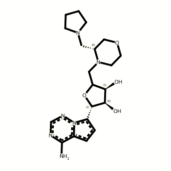 Nc1ncnn2c([C@@H]3OC(CN4CCOC[C@H]4CN4CCCC4)[C@@H](O)[C@H]3O)ccc12